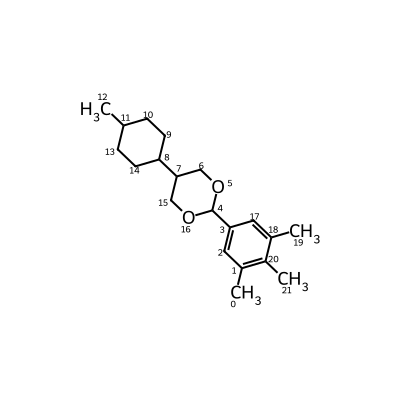 Cc1cc(C2OCC(C3CCC(C)CC3)CO2)cc(C)c1C